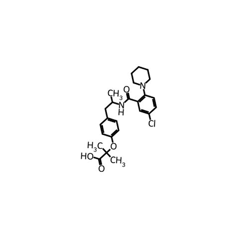 CC(Cc1ccc(OC(C)(C)C(=O)O)cc1)NC(=O)c1cc(Cl)ccc1N1CCCCC1